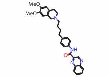 COc1cc2c(cc1OC)CN(CCCCc1ccc(NC(=O)c3cnc4ccccc4n3)cc1)CC2